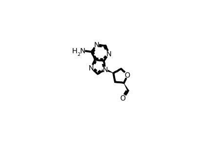 Nc1ncnc2c1ncn2[C@H]1CO[C@@H](C=O)C1